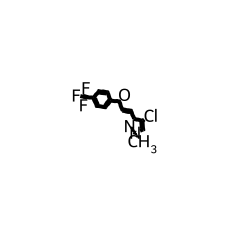 Cn1cc(Cl)c(C=CC(=O)c2ccc(C(F)(F)F)cc2)n1